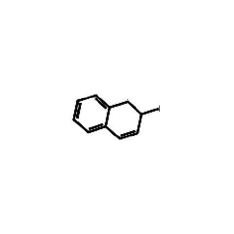 IC1[CH]c2ccccc2C=C1